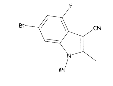 Cc1c(C#N)c2c(F)cc(Br)cc2n1C(C)C